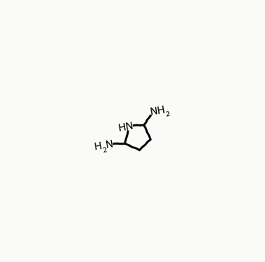 NC1CCC(N)N1